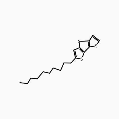 CCCCCCCCCCc1cc2sc3ccsc3c2s1